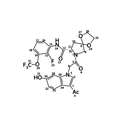 CC(=O)c1cn(CC(=O)N2CC3(C[C@H]2C(=O)Nc2cccc(OC(F)(F)F)c2F)OCCO3)c2cc(O)ccc12